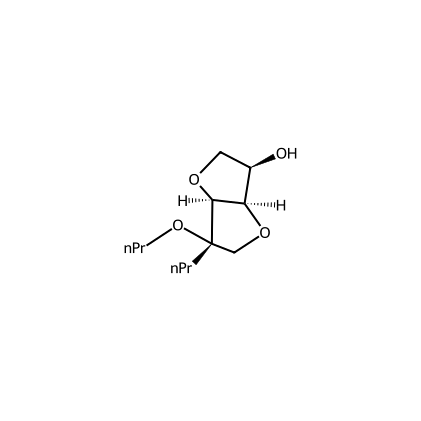 CCCO[C@@]1(CCC)CO[C@@H]2[C@H](O)CO[C@@H]21